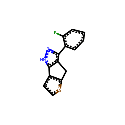 Fc1ccccc1-c1n[nH]c2c1Cc1sccc1-2